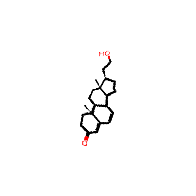 C[C@]12CCC(=O)C=C1C=CC1C2CC[C@@]2(C)C1CC[C@@H]2CCO